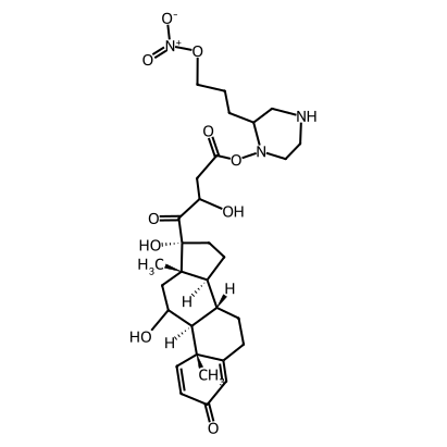 C[C@]12C=CC(=O)C=C1CC[C@@H]1[C@@H]2C(O)C[C@@]2(C)[C@H]1CC[C@]2(O)C(=O)C(O)CC(=O)ON1CCNCC1CCCO[N+](=O)[O-]